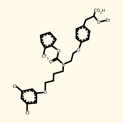 CCOC(Cc1ccc(OCCN(CCCCOc2cc(Cl)cc(Cl)c2)C(=O)Oc2ccccc2C(F)(F)F)cc1)C(=O)O